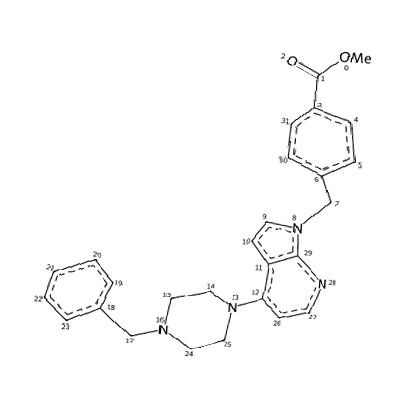 COC(=O)c1ccc(Cn2ccc3c(N4CCN(Cc5ccccc5)CC4)ccnc32)cc1